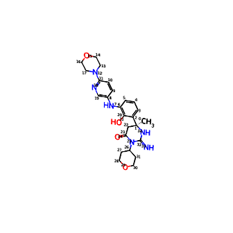 C[C@@]1(c2cccc(Nc3ccc(N4CCOCC4)nc3)c2O)CC(=O)N(C2CCOCC2)C(=N)N1